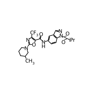 CC1CCCN(c2nc(C(F)(F)F)c(C(=O)Nc3ccc4c(cnn4S(=O)(=O)C(C)C)c3)o2)C1